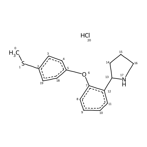 CSc1ccc(Oc2ccccc2C2CCCN2)cc1.Cl